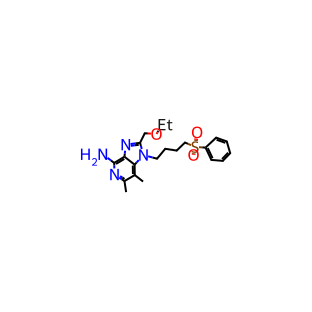 CCOCc1nc2c(N)nc(C)c(C)c2n1CCCCS(=O)(=O)c1ccccc1